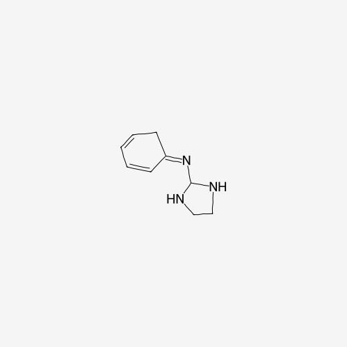 C1=CCC(=NC2NCCN2)C=C1